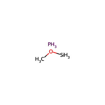 CO[SiH3].P